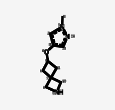 Cn1cc(OC2CC3(CNC3)C2)cn1